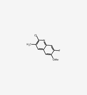 COc1cc2cc(C)c(Cl)nc2cc1F